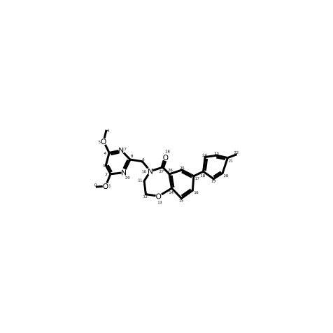 COc1cc(OC)nc(CN2CCOc3ccc(-c4ccc(C)cc4)cc3C2=O)n1